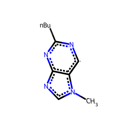 CCCCc1n[c]c2c(ncn2C)n1